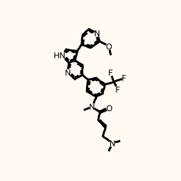 COc1cc(-c2c[nH]c3ncc(-c4cc(N(C)C(=O)/C=C/CN(C)C)cc(C(F)(F)F)c4)cc23)ccn1